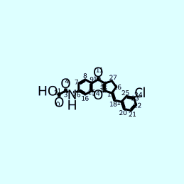 O=C(O)C(=O)Nc1ccc2c(=O)c3c(oc2c1)C(=Cc1cccc(Cl)c1)CC3